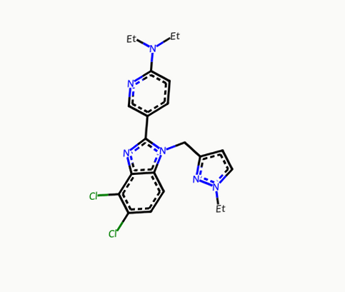 CCN(CC)c1ccc(-c2nc3c(Cl)c(Cl)ccc3n2Cc2ccn(CC)n2)cn1